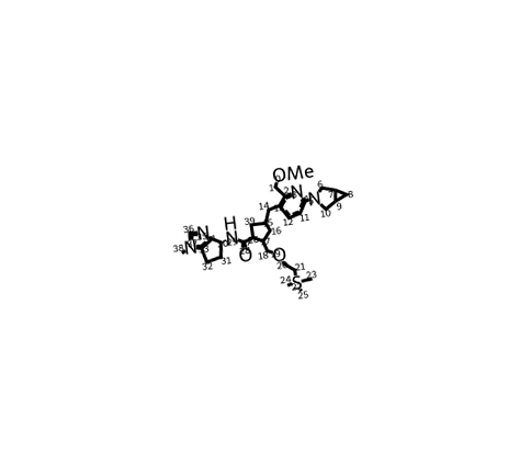 COCc1nc(N2CC3CC3C2)ccc1CC1CC(COCCS(C)(C)C)C(C(=O)N[C@@H]2CCc3c2ncn3C)C1